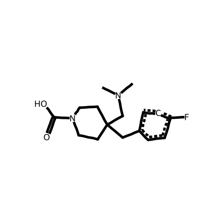 CN(C)CC1(Cc2ccc(F)cc2)CCN(C(=O)O)CC1